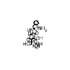 CCC(Sc1nnn[nH]1)(C(=O)O)C1=C(C(=O)O)N2C(=O)C(NC(=O)CC3=C(CN)CC=CC3)[C@@H]2SC1